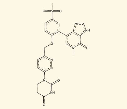 Cn1cc(-c2cc(S(C)(=O)=O)ccc2OCc2ccc(N3CCC(=O)NC3=O)nn2)c2cc[nH]c2c1=O